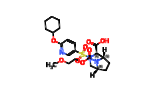 COCCOC(=O)N1[C@@H]2CC[C@H]1[C@H](C(=O)O)N(S(=O)(=O)c1ccc(OC3CCCCC3)nc1)C2